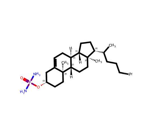 CC(C)CCCC(C)[C@H]1CC[C@H]2[C@@H]3CC=C4C[C@@H](OP(N)(N)=O)CC[C@]4(C)[C@H]3CC[C@]12C